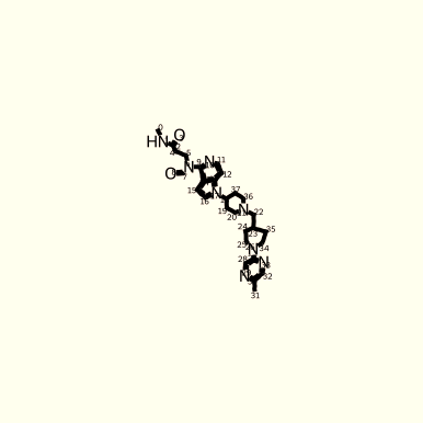 CNC(=O)CCN(C=O)c1nccc2c1ccn2C1CCN(CC2CCN(c3cnc(C)cn3)CC2)CC1